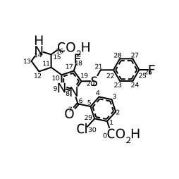 O=C(O)c1cccc(C(=O)n2nc(C3CCNC3C(=O)O)c(F)c2SCc2ccc(F)cc2)c1Cl